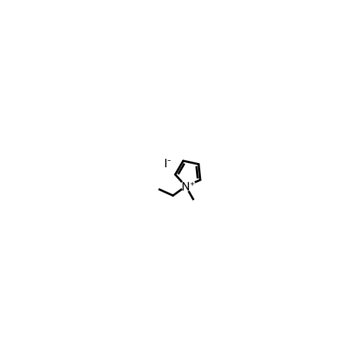 CC[N+]1(C)C=CC=C1.[I-]